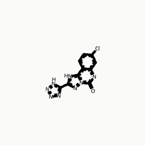 O=c1nc2cc(Cl)ccc2c2[nH]c(-c3nnn[nH]3)nn12